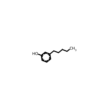 CC[CH]CCc1cccc(O)c1